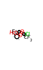 CCc1ccc(Oc2ccc(C(F)(F)F)c(Cl)c2)cc1/C1=C(\O)C(C)[C@@H](C)CC[C@@H](C)CC1=O